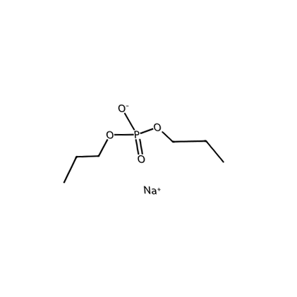 CCCOP(=O)([O-])OCCC.[Na+]